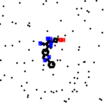 C[C@]1(O)C[C@@H](n2nc(-c3ccc4cnc(-c5ccccc5)nc4c3)c(C#N)c2N)C1